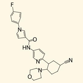 N#CC1CCC(N2CCOCC2)C(c2ccc(NC(=O)c3ccn(-c4ccc(F)cc4)c3)cn2)C1